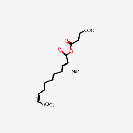 CCCCCCCC/C=C\CCCCCCCC(=O)OC(=O)CCC(=O)[O-].[Na+]